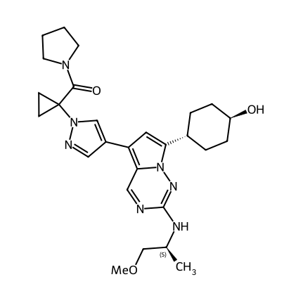 COC[C@H](C)Nc1ncc2c(-c3cnn(C4(C(=O)N5CCCC5)CC4)c3)cc([C@H]3CC[C@H](O)CC3)n2n1